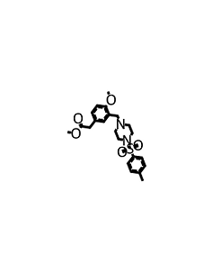 COC(=O)Cc1ccc(OC)c(CN2CCN(S(=O)(=O)c3ccc(C)cc3)CC2)c1